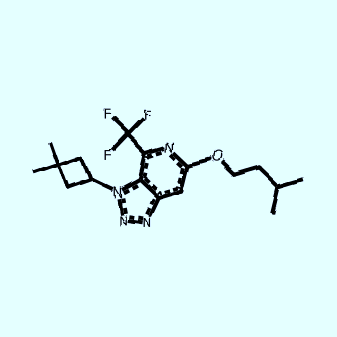 CC(C)CCOc1cc2nnn(C3CC(C)(C)C3)c2c(C(F)(F)F)n1